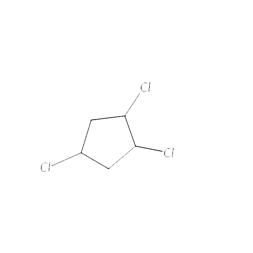 ClC1[CH]C(Cl)C(Cl)C1